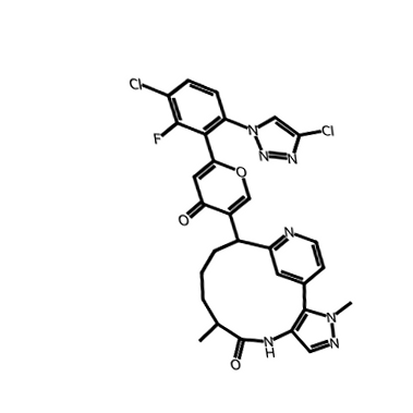 CC1CCCC(c2coc(-c3c(-n4cc(Cl)nn4)ccc(Cl)c3F)cc2=O)c2cc(ccn2)-c2c(cnn2C)NC1=O